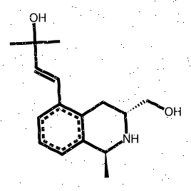 C[C@@H]1N[C@@H](CO)Cc2c(C=CC(C)(C)O)cccc21